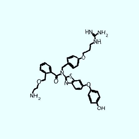 N=C(N)NCCCOc1ccc(CN(C(=O)c2ccccc2COCCN)c2nc3ccc(Oc4ccc(O)cc4)cc3s2)cc1